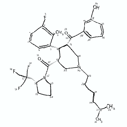 Cc1c(F)cccc1[C@H]1[C@@H](C(=O)N2CCC[C@@H]2C(F)(F)F)CN(CCCCN(C)C)C[C@H]1C(=O)c1cccc(O)c1